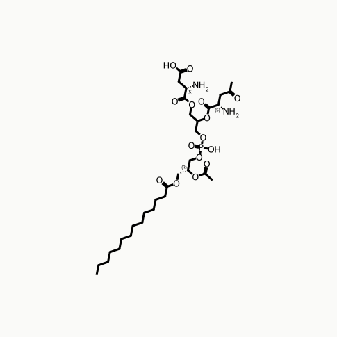 CCCCCCCCCCCCCC(=O)OC[C@H](COP(=O)(O)OCC(COC(=O)[C@@H](N)CC(=O)O)OC(=O)[C@@H](N)CC(C)=O)OC(C)=O